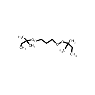 CCC(C)(C)OOCCCOOC(C)(C)CC